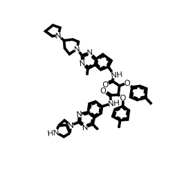 Cc1ccc(OC(C(=O)Nc2ccc3nc(N4CCC(N5CCCC5)CC4)nc(C)c3c2)C(Oc2ccc(C)cc2)C(=O)Nc2ccc3nc(N4CC5CC4CN5)nc(C)c3c2)cc1